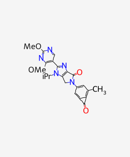 COc1ncc(-c2nc3c(n2C(C)C)CN(c2cc(C)c4c(=O)c4c2)C3=O)c(OC)n1